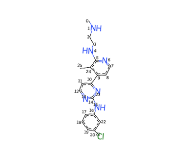 CNCCNc1nccc(-c2ccnc(Nc3cccc(Cl)c3)n2)c1C